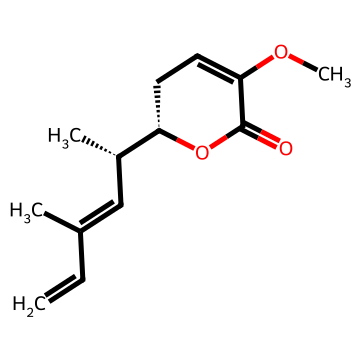 C=C/C(C)=C/[C@H](C)[C@@H]1CC=C(OC)C(=O)O1